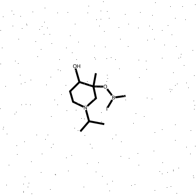 CB(I)OC1(C)CN(C(C)C)CCC1O